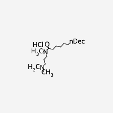 CCCCCCCCCCCCCCCC(=O)N(C)CCCN(C)C.Cl